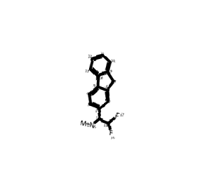 CNC(c1ccc2c(c1)Cc1ccccc1-2)C(F)F